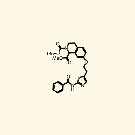 COC(=O)C1c2cc(OCCc3cnc(NC(=O)c4ccccc4)s3)ccc2CCN1C(=O)OC(C)(C)C